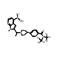 [2H]C([2H])([2H])N(C(=O)c1ccc(C2CCN(C(C)c3cc4c(B(O)O)ccnc4n3C)CC2)cc1)C([2H])([2H])[2H]